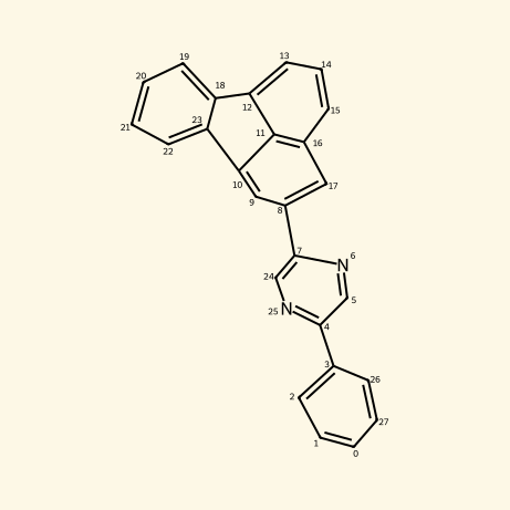 c1ccc(-c2cnc(-c3cc4c5c(cccc5c3)-c3ccccc3-4)cn2)cc1